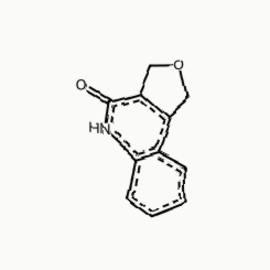 O=c1[nH]c2ccccc2c2c1COC2